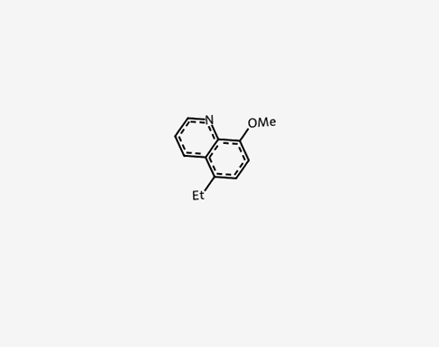 CCc1ccc(OC)c2ncccc12